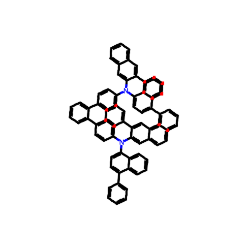 C1=CC2C(c3ccccc3)=CC=C(N(c3ccc(-c4ccccc4-c4ccc(N(c5cc6ccccc6cc5-c5ccccc5)c5ccc(-c6ccccc6)c6ccccc56)cc4)cc3)c3cc4ccccc4cc3-c3ccccc3)C2C=C1